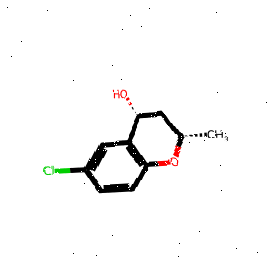 C[C@H]1C[C@@H](O)c2cc(Cl)ccc2O1